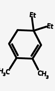 CCC1(CC)C=C(C)C(C)=CC1